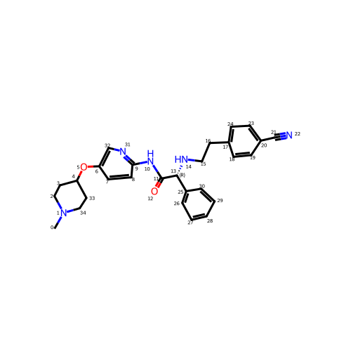 CN1CCC(Oc2ccc(NC(=O)[C@H](NCCc3ccc(C#N)cc3)c3ccccc3)nc2)CC1